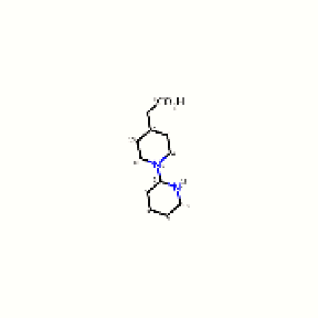 O=C(O)CC1CCN(C2CCCC[N]2)CC1